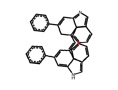 C1=CC2=CNC3=CC(c4ccccc4)=CC(=CC4CC(c5ccccc5)=CC5=NC=C6C=CC=CC654)C23C=C1